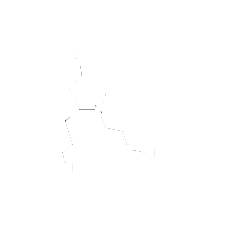 CCCC[C@@H](CCC)N(C)CCOC